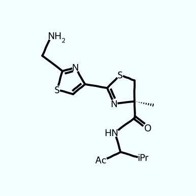 CC(=O)C(NC(=O)[C@]1(C)CSC(c2csc(CN)n2)=N1)C(C)C